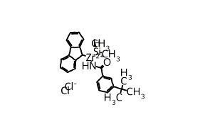 C[SiH](C)[Zr+2]([NH]C(=O)c1cccc(C(C)(C)C)c1)[CH]1c2ccccc2-c2ccccc21.[Cl-].[Cl-]